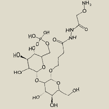 NOCC(=O)NNC(=O)CCCO[C@@H]1OC(CO)[C@@H](O)[C@H](O)C1O[C@H]1OC(COP(=O)(O)O)[C@@H](O)[C@H](O)C1O